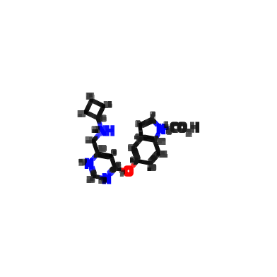 O=C(O)n1ccc2cc(Oc3cc(CNC4CCC4)ncn3)ccc21